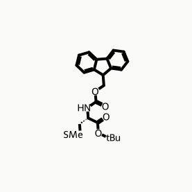 CSC[C@H](NC(=O)OCC1c2ccccc2-c2ccccc21)C(=O)OC(C)(C)C